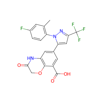 Cc1cc(F)ccc1-n1nc(C(F)(F)F)cc1-c1cc2c(c(C(=O)O)c1)OCC(=O)N2